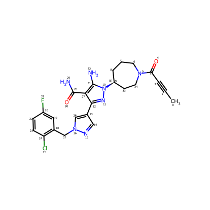 CC#CC(=O)N1CCC[C@H](n2nc(-c3cnn(Cc4cc(F)ccc4Cl)c3)c(C(N)=O)c2N)CC1